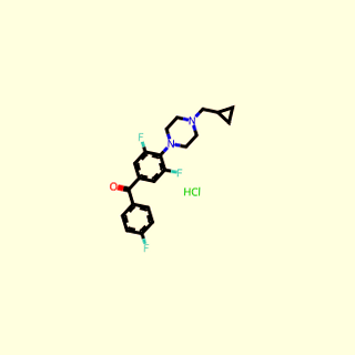 Cl.O=C(c1ccc(F)cc1)c1cc(F)c(N2CCN(CC3CC3)CC2)c(F)c1